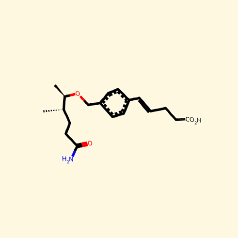 C[C@@H](CCC(N)=O)[C@@H](C)OCc1ccc(/C=C/CCC(=O)O)cc1